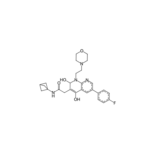 O=C(CC1=C(O)c2cc(-c3ccc(F)cc3)cnc2N(CCN2CCOCC2)C1O)NC12CC(C1)C2